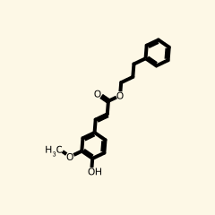 COc1cc(C=CC(=O)OCCCc2ccccc2)ccc1O